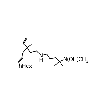 C=CC(C)(C/C=C/CCCCCC)CCNCCCC(C)(C)N(C)O